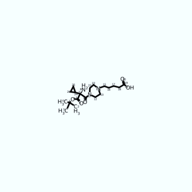 CC(C)(C)OC(=O)[C@@](N)(C(=O)N1CCN(CCCCC(=O)O)CC1)C1CC1